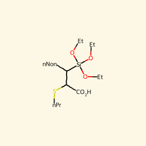 CCCCCCCCCC(C(SCCC)C(=O)O)[Si](OCC)(OCC)OCC